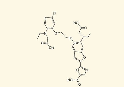 CCC(CC(=O)O)c1cc2oc(-c3ncc(C(=O)O)o3)cc2cc1OCCOc1cc(Cl)ccc1N(CC)CC(=O)O